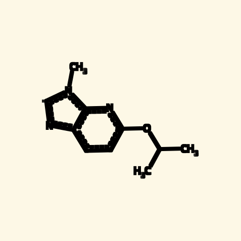 CC(C)Oc1ccc2n[c]n(C)c2n1